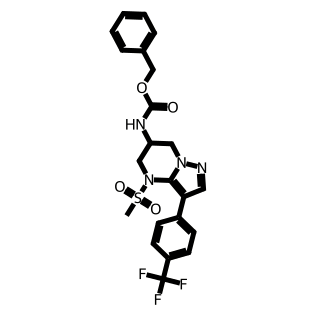 CS(=O)(=O)N1CC(NC(=O)OCc2ccccc2)Cn2ncc(-c3ccc(C(F)(F)F)cc3)c21